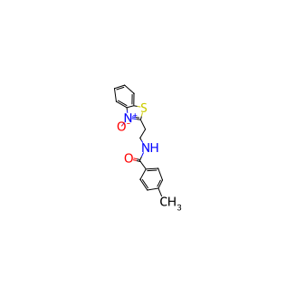 Cc1ccc(C(=O)NCCc2sc3ccccc3[n+]2[O-])cc1